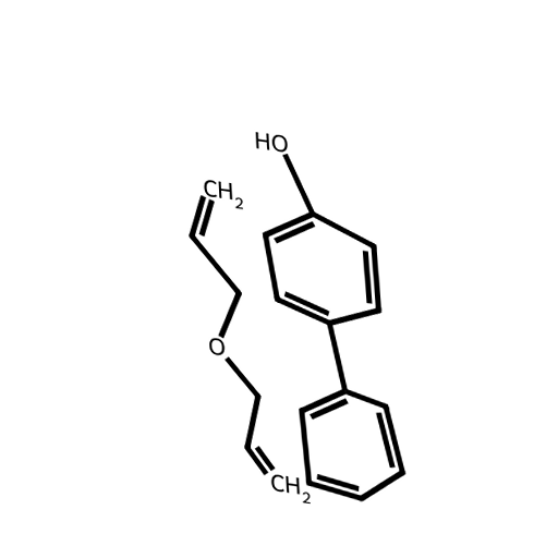 C=CCOCC=C.Oc1ccc(-c2ccccc2)cc1